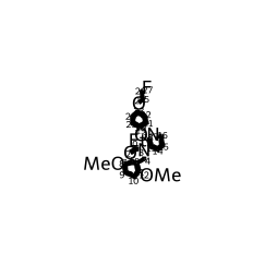 CCC(=O)N(Cc1cc(OC)ccc1OC)c1cccnc1Oc1ccc(OCCF)cc1